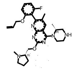 C=CCOc1cccc(F)c1-c1nc2nc(OC[C@@H]3CCCN3C)nc(N3CCNC[C@H]3C)c2cc1C